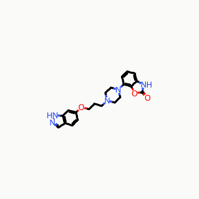 O=c1[nH]c2cccc(N3CCN(CCCOc4ccc5cn[nH]c5c4)CC3)c2o1